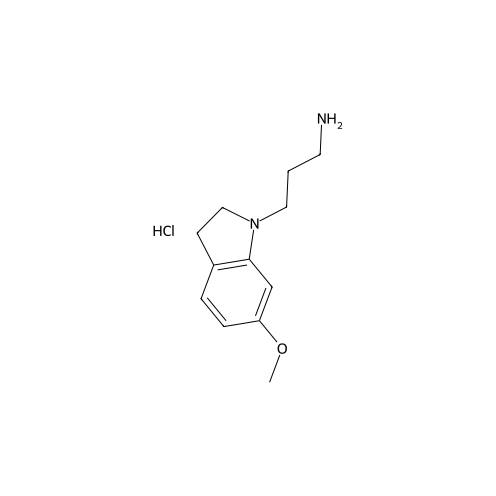 COc1ccc2c(c1)N(CCCN)CC2.Cl